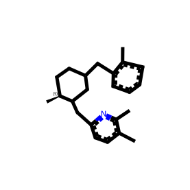 Cc1ccccc1CC1CC[C@H](C)C(Cc2ccc(C)c(C)n2)C1